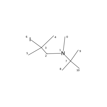 CN(CC(C)(C)I)C(C)(C)C